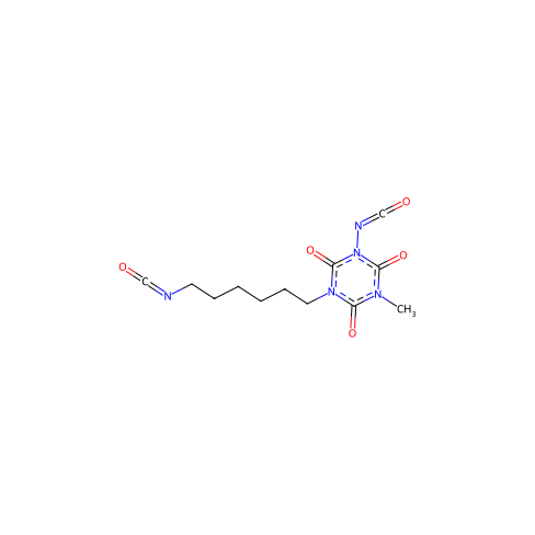 Cn1c(=O)n(CCCCCCN=C=O)c(=O)n(N=C=O)c1=O